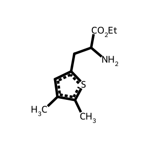 CCOC(=O)C(N)Cc1cc(C)c(C)s1